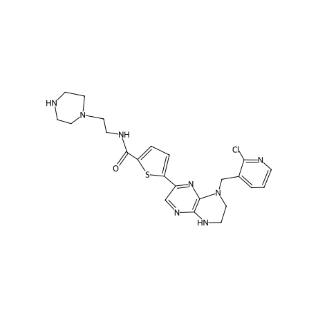 O=C(NCCN1CCNCC1)c1ccc(-c2cnc3c(n2)N(Cc2cccnc2Cl)CCN3)s1